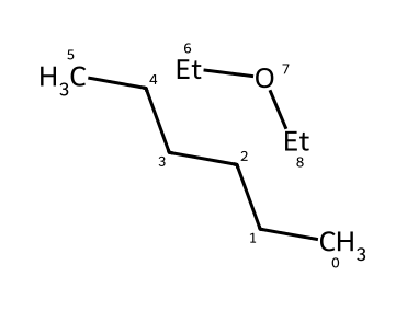 CCCCCC.CCOCC